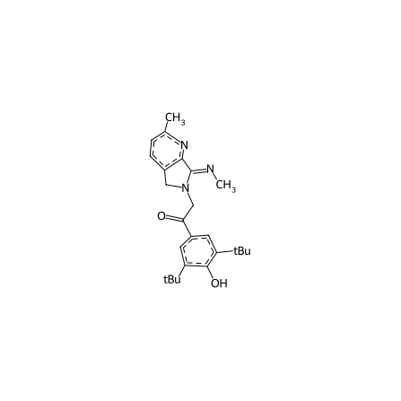 C/N=C1/c2nc(C)ccc2CN1CC(=O)c1cc(C(C)(C)C)c(O)c(C(C)(C)C)c1